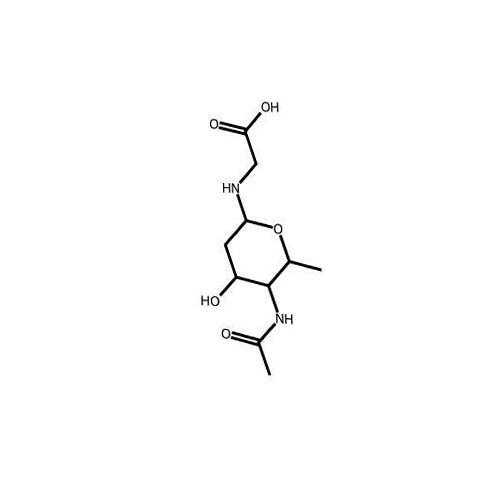 CC(=O)NC1C(O)CC(NCC(=O)O)OC1C